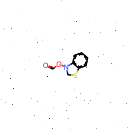 O=CON1CSc2ccccc21